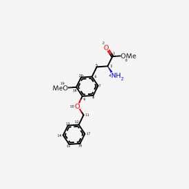 COC(=O)[C@@H](N)Cc1ccc(OCc2ccccc2)c(OC)c1